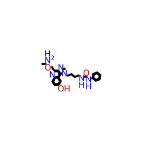 CC(N)OCc1nc2ccc(O)cc2c2c1ncn2CCCCNC(=O)Nc1ccccc1